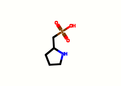 O=S(=O)(O)CC1CCCN1